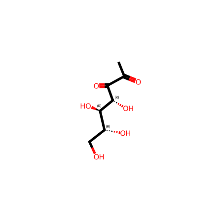 CC(=O)C(=O)[C@H](O)[C@H](O)[C@H](O)CO